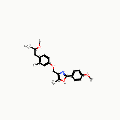 CCOC(Cc1ccc(OCc2nc(-c3ccc(OC(C)C)cc3)oc2C)cc1CC)C(=O)O